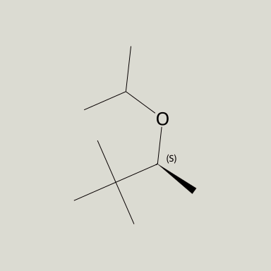 CC(C)O[C@@H](C)C(C)(C)C